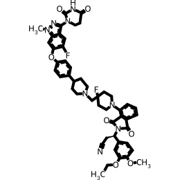 CCOc1cc([C@@H](CC#N)N2C(=O)c3cccc(N4CCC(F)(CN5CCC(c6ccc(Oc7cc8c(cc7F)c(N7CCC(=O)NC7=O)nn8C)cc6)CC5)CC4)c3C2=O)ccc1OC